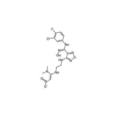 CN(C)C(=C[N+](=O)[O-])NCCNc1nonc1C(=NO)Nc1ccc(F)c(Cl)c1